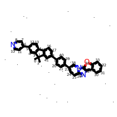 CC1(C)c2cc(-c3ccncc3)ccc2-c2ccc(-c3ccc(-c4ccc5nc6c7ccccc7oc6n5c4)cc3)cc21